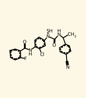 CC(NC(=O)N(S)c1ccc(NC(=O)c2ccccc2F)c(Cl)c1)c1ccc(C#N)cc1